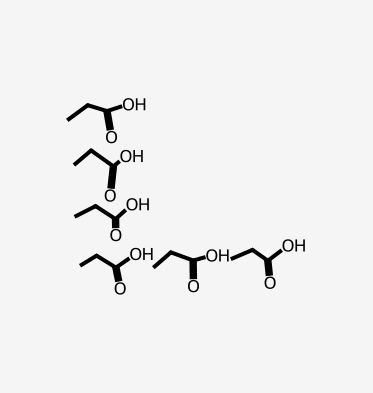 CCC(=O)O.CCC(=O)O.CCC(=O)O.CCC(=O)O.CCC(=O)O.CCC(=O)O